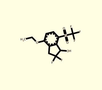 CCOc1ccc(S(=O)(=O)C(F)(F)F)c2c1CC(F)(F)C2O